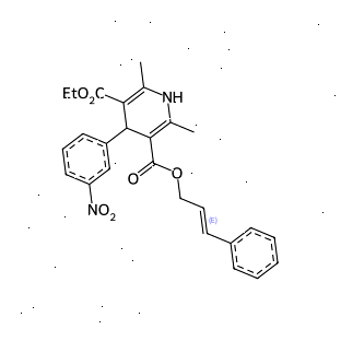 CCOC(=O)C1=C(C)NC(C)=C(C(=O)OC/C=C/c2ccccc2)C1c1cccc([N+](=O)[O-])c1